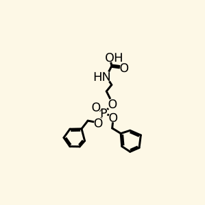 O=C(O)NCCOP(=O)(OCc1ccccc1)OCc1ccccc1